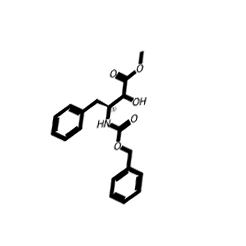 COC(=O)C(O)[C@H](Cc1ccccc1)NC(=O)OCc1ccccc1